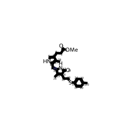 COC(=O)CCc1c[nH]c(/C=C2\NC(=O)C(CCSc3ccc(C)cc3)=C2C)c1C